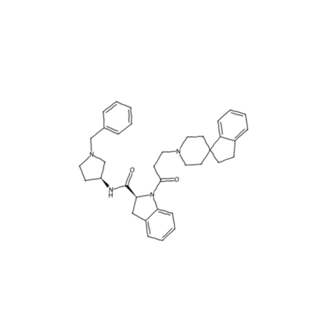 O=C(N[C@H]1CCN(Cc2ccccc2)C1)[C@@H]1Cc2ccccc2N1C(=O)CCN1CCC2(CCc3ccccc32)CC1